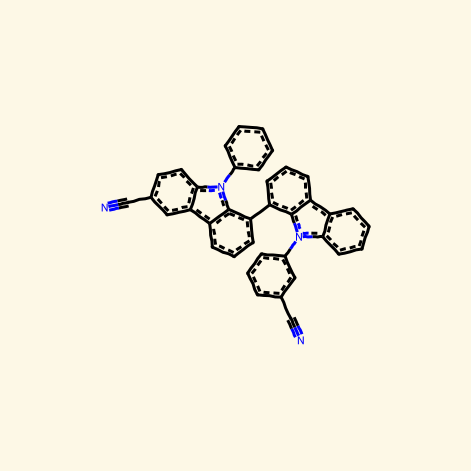 N#Cc1cccc(-n2c3ccccc3c3cccc(-c4cccc5c6cc(C#N)ccc6n(-c6ccccc6)c45)c32)c1